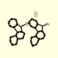 CC(C)C1c2ccccc2-c2c1ccc1ccccc21.[Cl-].[Cl-].[Zr+2][CH]1c2ccccc2-c2c1ccc1ccccc21